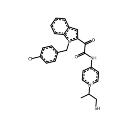 CC(CS)[n+]1ccc(NC(=O)C(=O)c2cc3ccccc3n2Cc2ccc(Cl)cc2)cc1